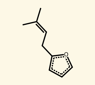 CC(C)=CCc1ccco1